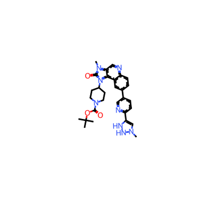 CN1C=C(c2ccc(-c3ccc4ncc5c(c4c3)n(C3CCN(C(=O)OC(C)(C)C)CC3)c(=O)n5C)cn2)NN1